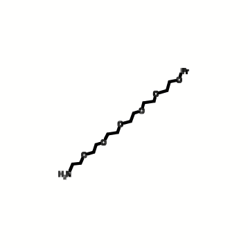 CC(C)OCCOCCOCCOCCOCCOCCN